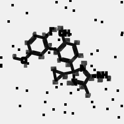 COc1ccc(F)c(-c2cc(C3(C4CC4)N=C(C)C(N)=N3)ccc2O)c1